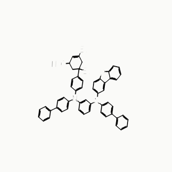 CCC1=CC(C)CC(CC)(c2ccc(N(c3ccc(-c4ccccc4)cc3)c3cccc(N(c4ccc(-c5ccccc5)cc4)c4ccc5oc6ccccc6c5c4)c3)cc2)C1